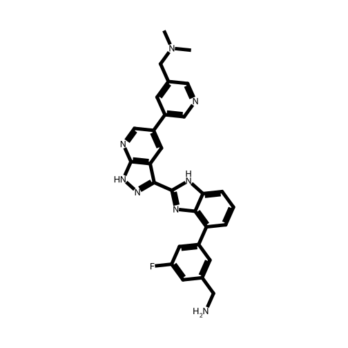 CN(C)Cc1cncc(-c2cnc3[nH]nc(-c4nc5c(-c6cc(F)cc(CN)c6)cccc5[nH]4)c3c2)c1